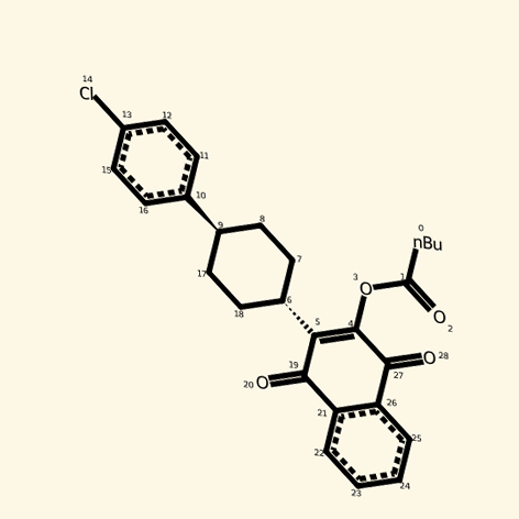 CCCCC(=O)OC1=C([C@H]2CC[C@H](c3ccc(Cl)cc3)CC2)C(=O)c2ccccc2C1=O